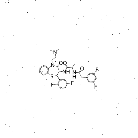 CC(NC(=O)Cc1cc(F)cc(F)c1)C(=O)N[C@@H]1C(=O)N(CCN(C)C)c2ccccc2S[C@@H]1c1cc(F)ccc1F